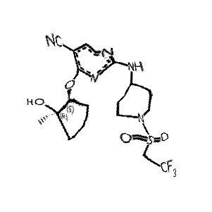 C[C@@]1(O)CCC[C@@H]1Oc1nc(NC2CCN(S(=O)(=O)CC(F)(F)F)CC2)ncc1C#N